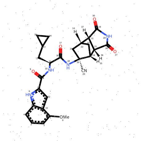 COc1cccc2[nH]c(C(=O)N[C@@H](CC3CC3)C(=O)N[C@@]3(C#N)C[C@H]4C[C@@H]3[C@H]3C(=O)NC(=O)[C@@H]43)cc12